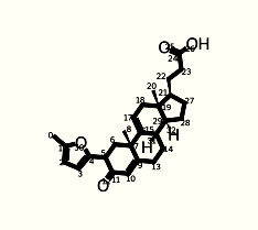 Cc1ccc(C2C[C@@]3(C)C(=CC2=O)CC[C@@H]2C3=CC[C@]3(C)[C@@H](CCC(=O)O)CC[C@@H]23)o1